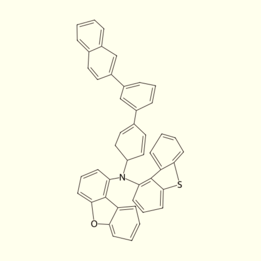 C1=CC(N(c2cccc3oc4ccccc4c23)c2cccc3sc4ccccc4c23)CC=C1c1cccc(-c2ccc3ccccc3c2)c1